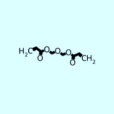 C=CC(=O)OCOCOC(=O)C=C